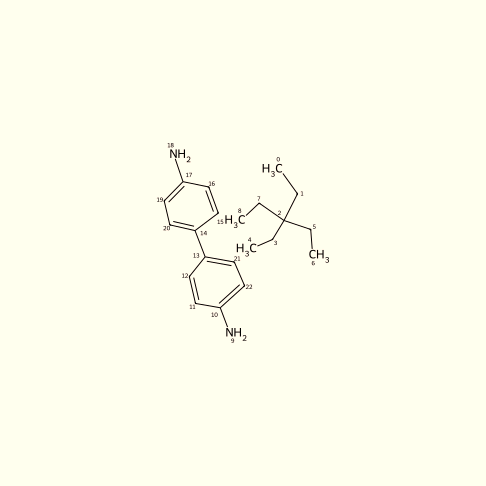 CCC(CC)(CC)CC.Nc1ccc(-c2ccc(N)cc2)cc1